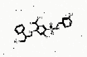 CCC(CNc1cc(Cl)c(S(=O)(=O)NCc2cccc(Cl)c2)cc1C(=O)O)c1ccccc1